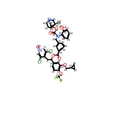 O=C(OC(Cc1c(Cl)c[n+]([O-])cc1Cl)c1ccc(OC(F)F)c(OCC2CC2)c1)c1cccc(CN(C(=O)O[C@H]2CN3CCC2CC3)c2ccccc2O)c1